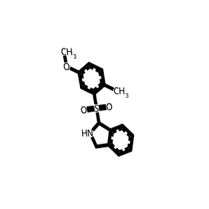 COc1ccc(C)c(S(=O)(=O)C2NCc3ccccc32)c1